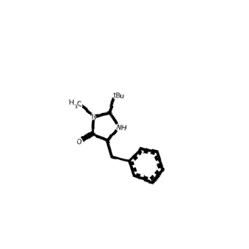 CN1C(=O)C(Cc2ccccc2)NC1C(C)(C)C